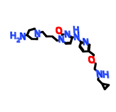 NC1CCN(CCCCn2ccc(Nc3ccc(COCCNCC4CC4)cn3)nc2=O)CC1